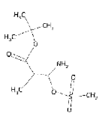 CC(C(=O)OC(C)(C)C)C(N)OS(C)(=O)=O